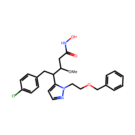 COC(CC(=O)NO)C(Cc1ccc(Cl)cc1)c1ccnn1CCOCc1ccccc1